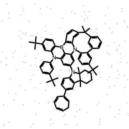 CC(C)(C)c1cccc(N2c3cc(C(C)(C)C)ccc3B3c4ccc5cc4N(c4ccc(C(C)(C)C)cc4-c4cccc(c4)C5(C)C)c4cc(N5c6ccc(C7=CCC=CC=C7)cc6C6(C)CCCCC56C)cc2c43)c1